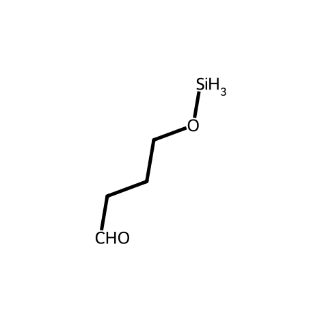 O=CCCCO[SiH3]